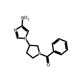 O=C(c1ccccc1)N1CCC(n2cnc([N+](=O)[O-])c2)C1